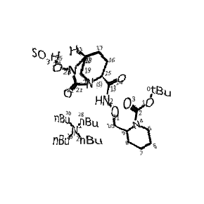 CC(C)(C)OC(=O)N1CCCCC1CONC(=O)[C@@H]1CC[C@@H]2CN1C(=O)N2OS(=O)(=O)O.CCCC[N+](CCCC)(CCCC)CCCC